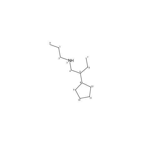 CCCNCC(CC)C1CCCC1